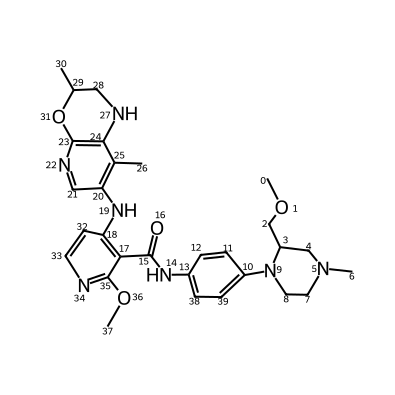 COCC1CN(C)CCN1c1ccc(NC(=O)c2c(Nc3cnc4c(c3C)NCC(C)O4)ccnc2OC)cc1